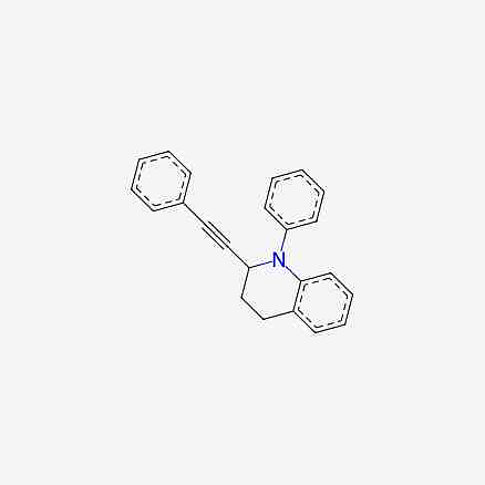 C(#CC1CCc2ccccc2N1c1ccccc1)c1ccccc1